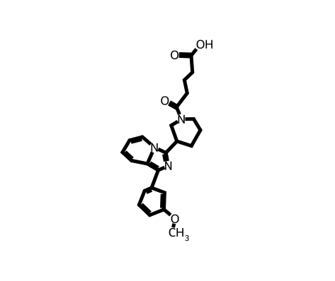 COc1cccc(-c2nc(C3CCCN(C(=O)CCCC(=O)O)C3)n3ccccc23)c1